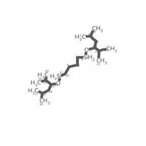 CC(C)CC(O[SiH2]CCCC[SiH2]OC(CC(C)C)C(C)C)C(C)C